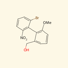 COc1cccc(CO)c1-c1c(Br)cccc1[N+](=O)[O-]